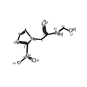 O=C(Cn1ccnc1[N+](=O)[O-])NCO